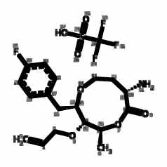 C=CCO[C@H]1[C@H](C)OC(=O)[C@@H](N)CCO[C@@H]1Cc1ccc(F)cc1.O=S(=O)(O)C(F)(F)F